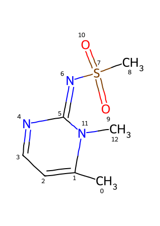 Cc1ccnc(=NS(C)(=O)=O)n1C